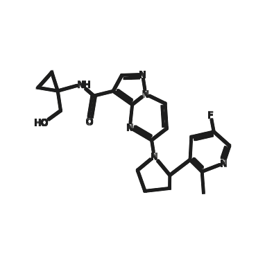 Cc1ncc(F)cc1C1CCCN1c1ccn2ncc(C(=O)NC3(CO)CC3)c2n1